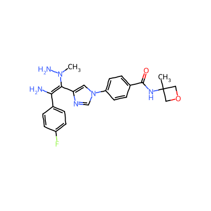 CN(N)/C(=C(\N)c1ccc(F)cc1)c1cn(-c2ccc(C(=O)NC3(C)COC3)cc2)cn1